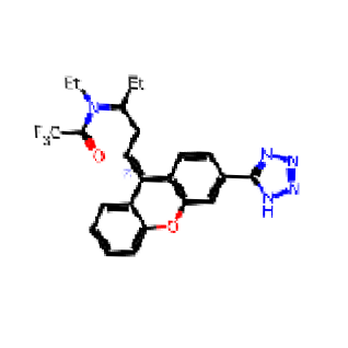 CCC(C/C=C1/c2ccccc2Oc2cc(-c3nnn[nH]3)ccc21)N(CC)C(=O)C(F)(F)F